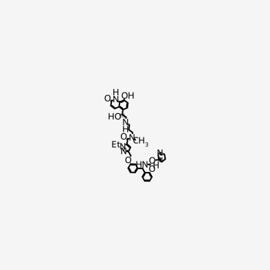 CCn1nc(COc2cccc(C(NC(=O)O[C@H]3CN4CCC3CC4)c3ccccc3)c2)cc1C(=O)N(C)CCCNC[C@@H](O)c1ccc(O)c2[nH]c(=O)ccc12